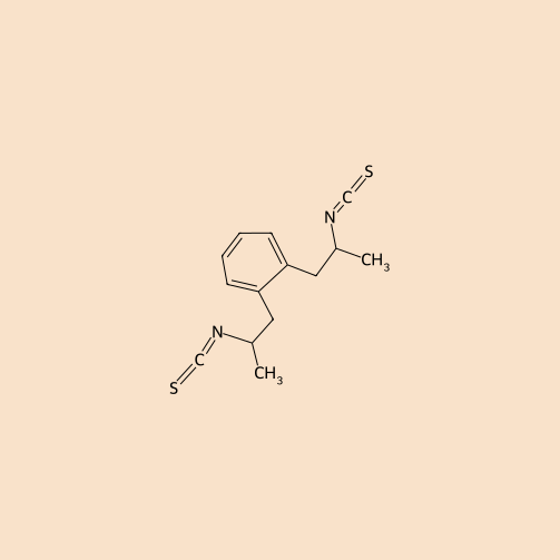 CC(Cc1ccccc1CC(C)N=C=S)N=C=S